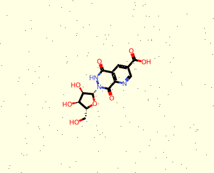 O=C(O)c1cnc2c(=O)n([C@@H]3O[C@H](CO)[C@@H](O)[C@H]3O)[nH]c(=O)c2c1